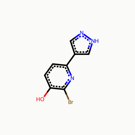 Oc1ccc(-c2cn[nH]c2)nc1Br